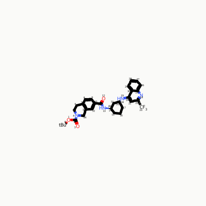 CC(C)(C)OC(=O)N1CCc2ccc(C(=O)N[C@@H]3CCC[C@H](Nc4cc(C(F)(F)F)nc5ccccc45)C3)cc2C1